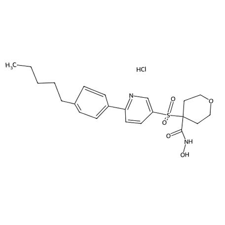 CCCCCc1ccc(-c2ccc(S(=O)(=O)C3(C(=O)NO)CCOCC3)cn2)cc1.Cl